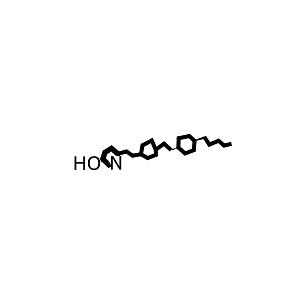 CCCCC[C@H]1CC[C@H](CCC2CCC(CCc3ccc(O)cn3)CC2)CC1